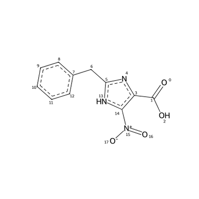 O=C(O)c1nc(Cc2ccccc2)[nH]c1[N+](=O)[O-]